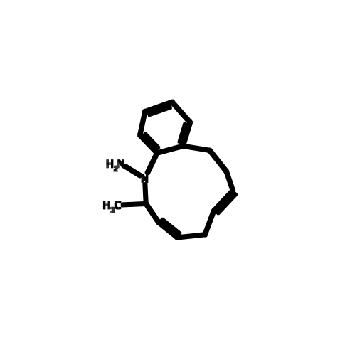 CC1/C=C\C/C=C/CCc2ccccc2N1N